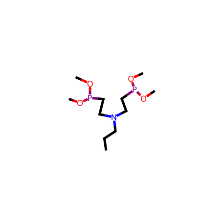 CCCN(CCP(OC)OC)CCP(OC)OC